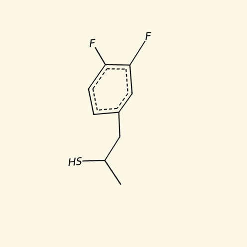 CC(S)Cc1ccc(F)c(F)c1